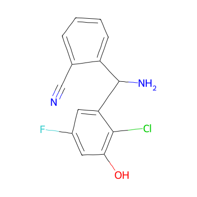 N#Cc1ccccc1C(N)c1cc(F)cc(O)c1Cl